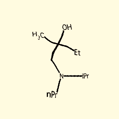 CCCN(CC(C)(O)CC)C(C)C